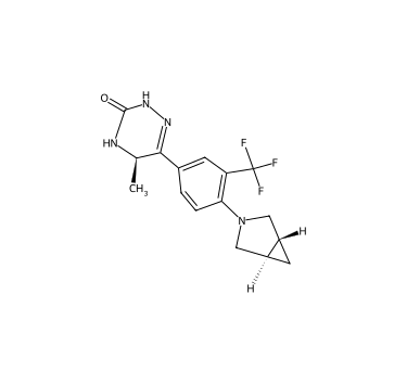 C[C@H]1NC(=O)NN=C1c1ccc(N2C[C@@H]3C[C@H]3C2)c(C(F)(F)F)c1